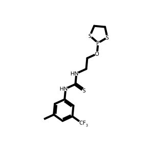 Cc1cc(NC(=S)NCCOP2SCCS2)cc(C(F)(F)F)c1